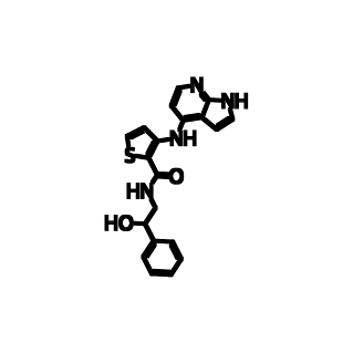 O=C(NCC(O)c1ccccc1)c1sccc1Nc1ccnc2[nH]ccc12